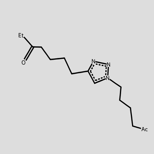 CCC(=O)CCCCc1cn(CCCCC(C)=O)nn1